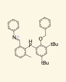 Cc1cccc(/C=N/c2ccccc2)c1Pc1cc(C(C)(C)C)cc(C(C)(C)C)c1OCc1ccccc1